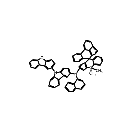 C[Si]1(C)c2ccccc2C2(c3ccccc3-c3cccc4cccc2c34)c2ccc(N(c3ccc4c(c3)c3ccccc3n4-c3ccc4oc5ccccc5c4c3)c3cccc4ccccc34)cc21